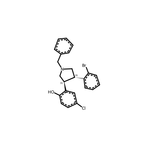 Oc1ccc(Cl)cc1[C@H]1CN(Cc2ccccc2)C[C@@H]1c1ccccc1Br